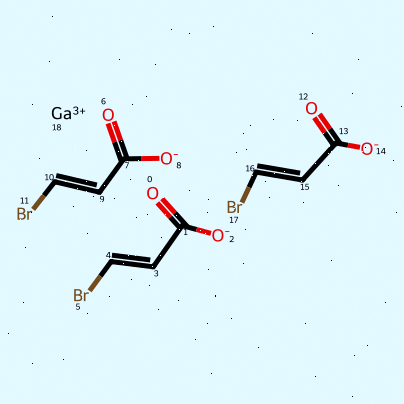 O=C([O-])C=CBr.O=C([O-])C=CBr.O=C([O-])C=CBr.[Ga+3]